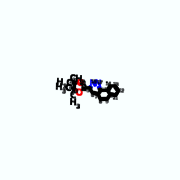 CC1(C)OB(c2cc3ccc4ccccc4c3nn2)OC1(C)C